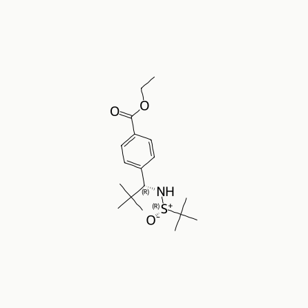 CCOC(=O)c1ccc([C@H](N[S@@+]([O-])C(C)(C)C)C(C)(C)C)cc1